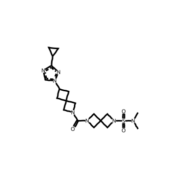 CN(C)S(=O)(=O)N1CC2(CN(C(=O)N3CC4(CC(n5cnc(C6CC6)n5)C4)C3)C2)C1